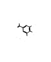 O=C(O)c1cc(O)c(O)c(O)c1.[BiH3].[GeH4]